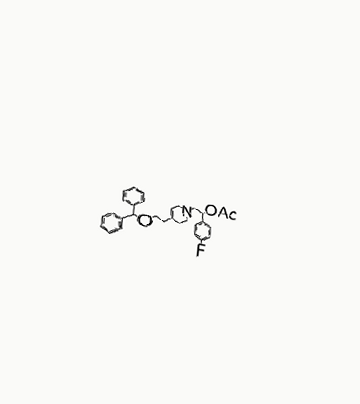 CC(=O)O[C@@H](CN1CC=C(CCOC(c2ccccc2)c2ccccc2)CC1)c1ccc(F)cc1